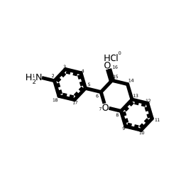 Cl.Nc1ccc(C2Oc3ccccc3CC2=O)cc1